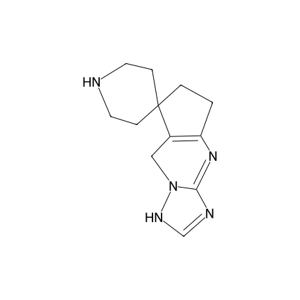 C1=NC2=NC3=C(CN2N1)C1(CCNCC1)CC3